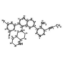 CC#Cc1cncc(-c2ccc3ncc(-c4cc(F)cc(F)c4)c(N4CCC5NCCOC5C4)c3c2)c1N